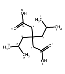 CC(C)CC(CC(=O)O)(CC(=O)O)CC(C)C